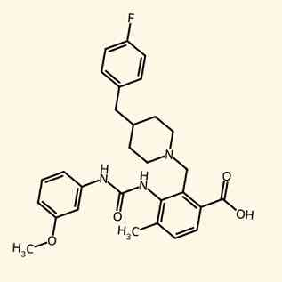 COc1cccc(NC(=O)Nc2c(C)ccc(C(=O)O)c2CN2CCC(Cc3ccc(F)cc3)CC2)c1